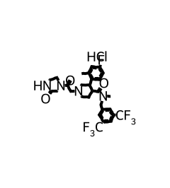 Cc1cc(F)ccc1C1CN(CC(=O)N2CCNC(=O)C2)CCC1C(=O)N(C)Cc1cc(C(F)(F)F)cc(C(F)(F)F)c1.Cl